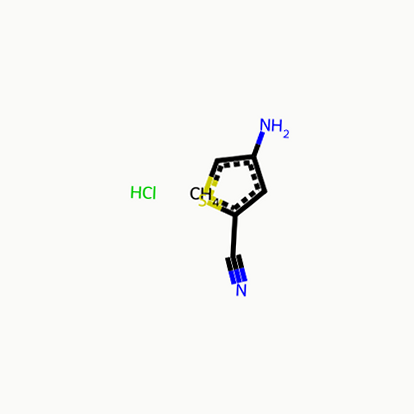 C.Cl.N#Cc1cc(N)cs1